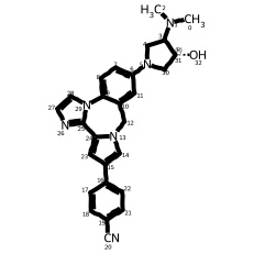 CN(C)C1CN(c2ccc3c(c2)Cn2cc(-c4ccc(C#N)cc4)cc2-c2nccn2-3)C[C@H]1O